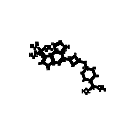 CC(C)C1CCN(CC2CC(c3cc4onc(C(C)(C)C)c4c4cc[nH]c34)C2)CC1